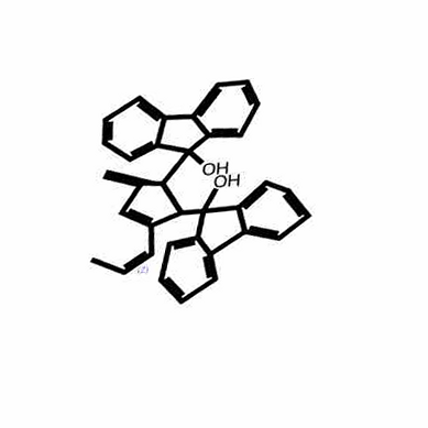 C=C1C=C(/C=C\C)C(C2(O)c3ccccc3-c3ccccc32)C1C1(O)c2ccccc2-c2ccccc21